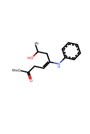 COC(=O)CC=C(CC(O)C(C)C)Nc1ccccc1